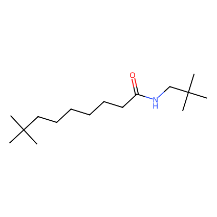 CC(C)(C)CCCCCCC(=O)NCC(C)(C)C